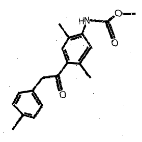 COC(=O)Nc1cc(C)c(C(=O)Cc2ccc(C)cc2)cc1C